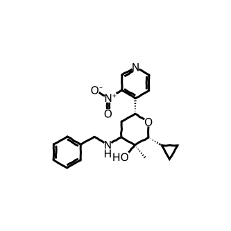 C[C@]1(O)C(NCc2ccccc2)C[C@H](c2ccncc2[N+](=O)[O-])O[C@@H]1C1CC1